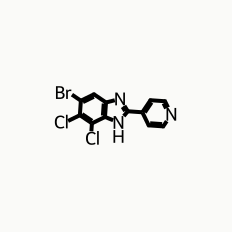 Clc1c(Br)cc2nc(-c3ccncc3)[nH]c2c1Cl